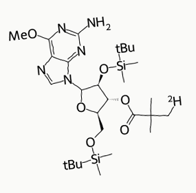 [2H]CC(C)(C)C(=O)O[C@H]1[C@H](O[Si](C)(C)C(C)(C)C)C(n2cnc3c(OC)nc(N)nc32)O[C@@H]1CO[Si](C)(C)C(C)(C)C